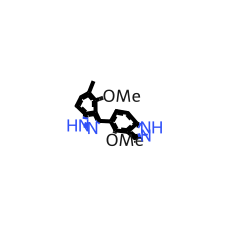 COc1c(-c2n[nH]c3ccc(C)c(OC)c23)ccc2[nH]n[c]c12